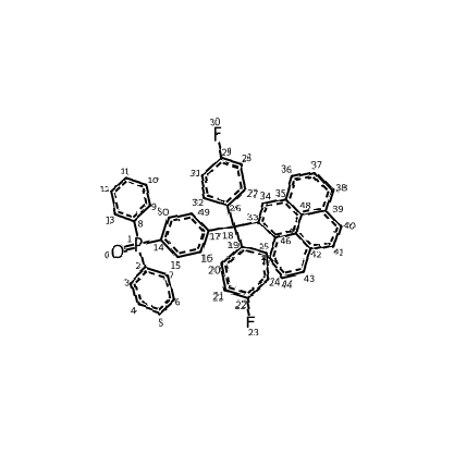 O=P(c1ccccc1)(c1ccccc1)c1ccc(C(c2ccc(F)cc2)(c2ccc(F)cc2)c2cc3cccc4ccc5cccc2c5c43)cc1